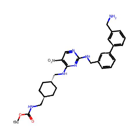 CC(C)(C)OC(=O)NC[C@H]1CC[C@H](CNc2nc(NCc3cccc(-c4cccc(CN)c4)c3)ncc2[N+](=O)[O-])CC1